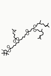 CC(C)=CCCC(C)CCOC(CCC(=O)OCCCCCCC(CCCC(=O)O[C@@H]1C[C@H](C)C(C)(C)C1(C)C)OC(=O)CCCN(C)C)OCCC(C)CCC=C(C)C